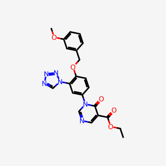 CCOC(=O)c1cncn(-c2ccc(OCc3cccc(OC)c3)c(-n3cnnn3)c2)c1=O